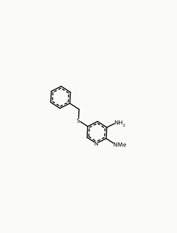 CNc1ncc(SCc2ccccc2)cc1N